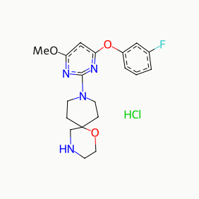 COc1cc(Oc2cccc(F)c2)nc(N2CCC3(CC2)CNCCO3)n1.Cl